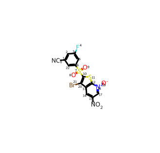 N#Cc1cc(F)cc(S(=O)(=O)c2sc3c(cc([N+](=O)[O-])c[n+]3[O-])c2Br)c1